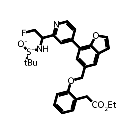 CCOC(=O)Cc1ccccc1OCc1cc(-c2ccnc(C(CF)N[S@+]([O-])C(C)(C)C)c2)c2occc2c1